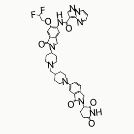 O=C1CCC(N2Cc3ccc(N4CCC(CN5CCC(N6Cc7cc(NC(=O)c8cnn9cccnc89)c(OCC(F)F)cc7C6=O)CC5)CC4)cc3C2=O)C(=O)N1